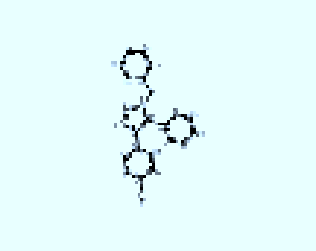 Clc1ccc(-c2nnn(Cc3ccccc3)c2-c2ccccc2)cc1